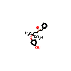 CC(CC[S+]([O-])Cc1ccccc1)(Oc1ccc(O)cc1)C(=O)O